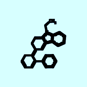 CCn1c2c(c3ccccc31)=CC(=C1CC=CC=C1c1ccccc1)CC=2